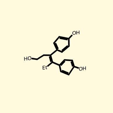 CCC(=C(CCO)c1ccc(O)cc1)c1ccc(O)cc1